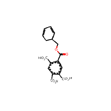 O=C(O)c1cc(C(=O)O)c(C(=O)OCC2C=CC=CC2)cc1C(=O)O